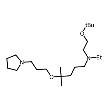 CCN(CCCC(C)(C)OCCCN1CCCC1)CCOC(C)(C)C